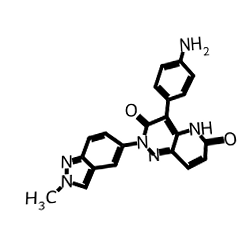 Cn1cc2cc(-n3nc4ccc(=O)[nH]c4c(-c4ccc(N)cc4)c3=O)ccc2n1